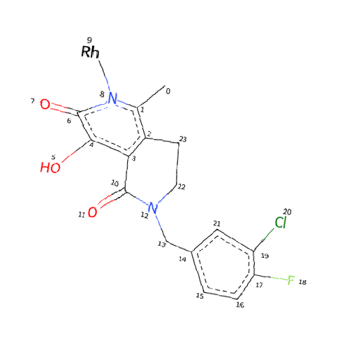 Cc1c2c(c(O)c(=O)[n]1[Rh])C(=O)N(Cc1ccc(F)c(Cl)c1)CC2